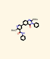 CNc1nc2ccc(-c3cnc(OC)c(C(=O)Nc4ccccc4)c3)cc2c(=O)n1-c1ccccc1